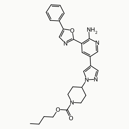 CCCCOC(=O)N1CCC(n2cc(-c3cnc(N)c(-c4ncc(-c5ccccc5)o4)c3)cn2)CC1